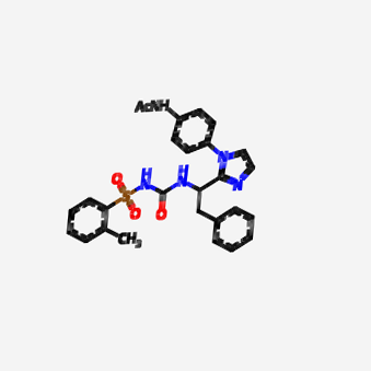 CC(=O)Nc1ccc(-n2ccnc2C(Cc2ccccc2)NC(=O)NS(=O)(=O)c2ccccc2C)cc1